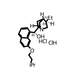 CC[C@H]1CN2CC[C@H]1C[C@H]2[C@H](O)c1cccc2ccc(OCCC(C)C)cc12.Cl.Cl